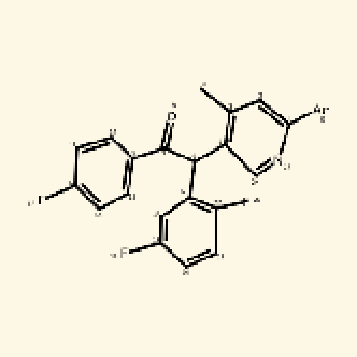 CC(=O)c1cc(C)c(C(C(=O)c2ccc(F)cc2)c2cc(F)ccc2F)cn1